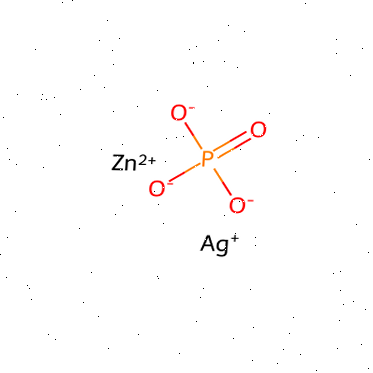 O=P([O-])([O-])[O-].[Ag+].[Zn+2]